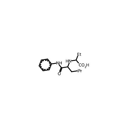 CCC(NC(CC(C)C)C(=O)Nc1ccccc1)C(=O)O